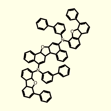 C1=CC2c3cccc(N(C4=CC5OC6c7ccccc7C(N(C7=CC=CC8C7OC7C(c9ccccc9)=CC=CC78)c7cccc(-c8ccccc8)c7)=CC6C5c5ccccc54)c4cccc(-c5ccccc5)c4)c3OC2C(c2ccccc2)=C1